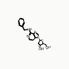 OCC1OC(n2cnc3c(NCc4ccccc4)nccc32)C[C@@H]1O